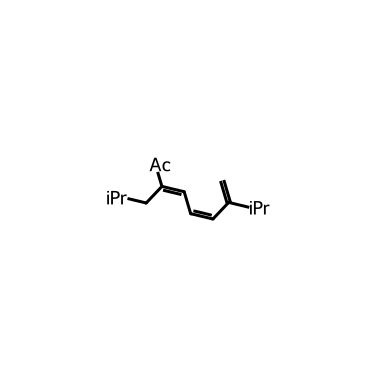 C=C(/C=C\C=C(/CC(C)C)C(C)=O)C(C)C